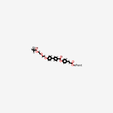 CCCCCOC(=O)/C=C/c1ccc(OC(=O)c2ccc(-c3ccc(OCCOCCOC(=O)C(C)(C)CC)cc3)cc2)cc1